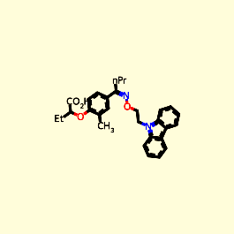 CCC/C(=N/OCCn1c2ccccc2c2ccccc21)c1ccc(OC(CC)C(=O)O)c(C)c1